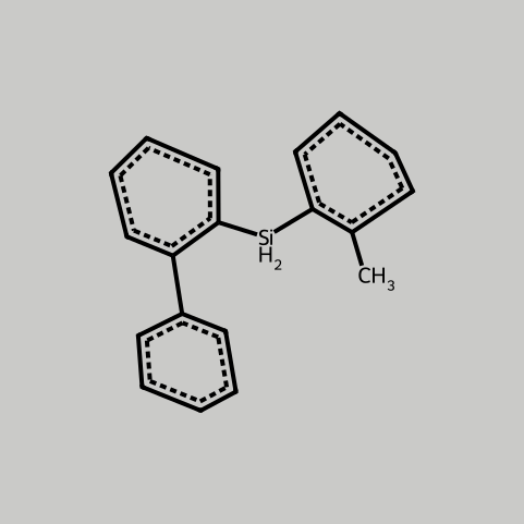 Cc1ccccc1[SiH2]c1ccccc1-c1ccccc1